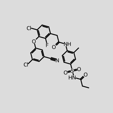 CCC(=O)NS(=O)(=O)c1ccc(NC(=O)Cc2ccc(Cl)c(Oc3cc(Cl)cc(C#N)c3)c2F)c(C)c1